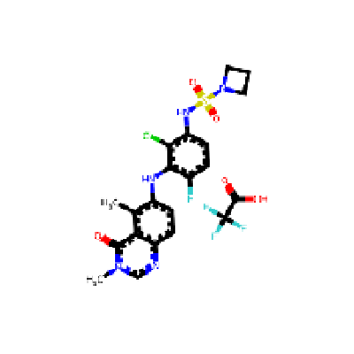 Cc1c(Nc2c(F)ccc(NS(=O)(=O)N3CCC3)c2Cl)ccc2ncn(C)c(=O)c12.O=C(O)C(F)(F)F